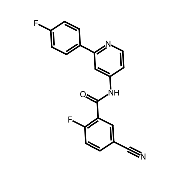 N#Cc1ccc(F)c(C(=O)Nc2ccnc(-c3ccc(F)cc3)c2)c1